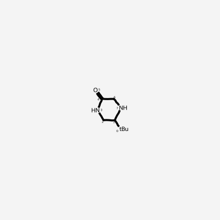 CC(C)(C)C1CNC(=O)CN1